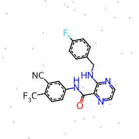 N#Cc1cc(NC(=O)c2nccnc2NCc2ccc(F)cc2)ccc1C(F)(F)F